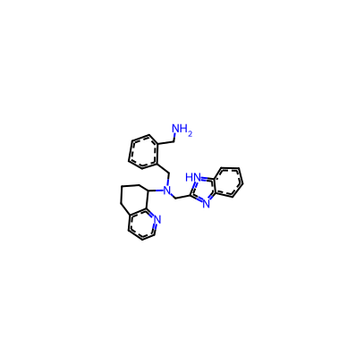 NCc1ccccc1CN(Cc1nc2ccccc2[nH]1)C1CCCc2cccnc21